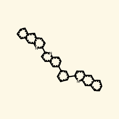 c1cc(-c2ccc3nc(-c4ccc5cc6ccccc6cc5n4)ccc3c2)cc(-c2ccc3cc4ccccc4cc3n2)c1